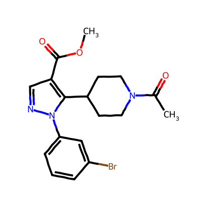 COC(=O)c1cnn(-c2cccc(Br)c2)c1C1CCN(C(C)=O)CC1